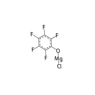 Fc1c(F)c(F)c([O][Mg][Cl])c(F)c1F